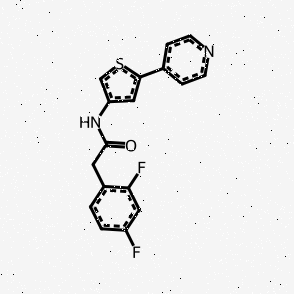 O=C(Cc1ccc(F)cc1F)Nc1csc(-c2ccncc2)c1